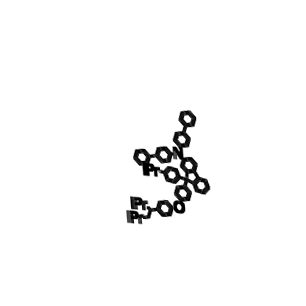 CC(C)CC(c1ccc(Oc2ccc(C3(c4ccc(C(C)C)cc4)c4ccccc4-c4ccc(N(c5ccc(-c6ccccc6)cc5)c5ccc(-c6ccccc6)cc5)cc43)cc2)cc1)C(C)C